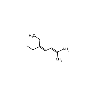 CC/C(=C\C=C(/C)N)CI